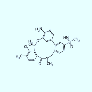 Cc1ccc2c(c1Cl)[C@@H](C)Oc1cc(cnc1N)-c1cc(S(C)(=N)=O)ccc1CN(C)C2=O